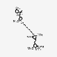 COc1cc(C2NC(=O)c3cc(C)ccc3N2)ccc1OCCCCCCCCCCOc1c(OC)cc(C=Cc2cc(OC)c(OC)c(OC)c2)cc1OC